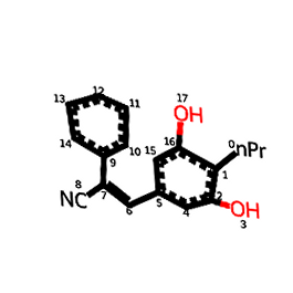 CCCc1c(O)cc(C=C(C#N)c2ccccc2)cc1O